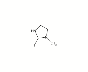 CN1CCNC1I